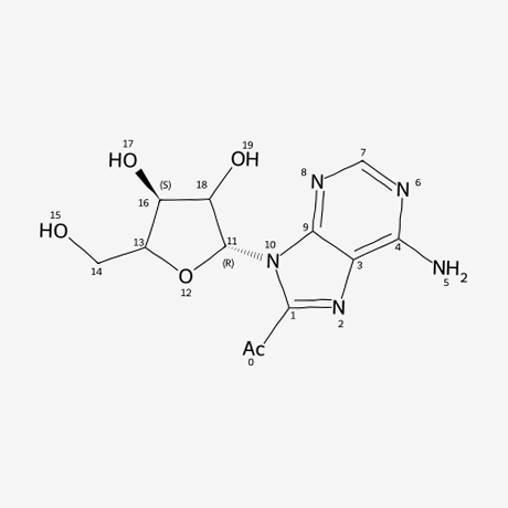 CC(=O)c1nc2c(N)ncnc2n1[C@@H]1OC(CO)[C@@H](O)C1O